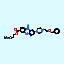 COCCOC(=O)c1ccc(Nc2cccc(N3CCN(CCOCc4ccccc4)CC3)c2)c(N)c1